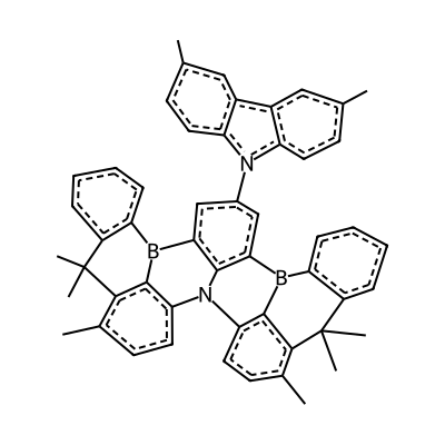 Cc1ccc2c(c1)c1cc(C)ccc1n2-c1cc2c3c(c1)B1c4ccccc4C(C)(C)c4c(C)ccc(c41)N3c1ccc(C)c3c1B2c1ccccc1C3(C)C